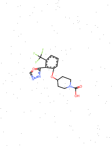 O=C(O)N1CCC(Oc2cccc(C(F)(F)F)c2-c2nnco2)CC1